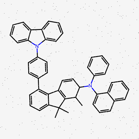 CC1C2=C(C=CC1N(c1ccccc1)c1cccc3ccccc13)c1c(-c3ccc(-n4c5ccccc5c5ccccc54)cc3)cccc1C2(C)C